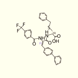 O=C(N[C@H](CSCc1ccccc1)C(=O)O)/C(=C\c1ccc(-c2ccccc2)cc1)NC(=O)c1ccc(C(F)(F)F)cc1